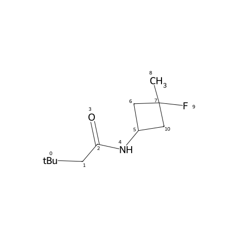 CC(C)(C)CC(=O)NC1CC(C)(F)C1